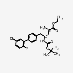 CCOC(=O)[C@H](N)C[C@@H](Cc1ccc(-c2cc(Cl)ccc2F)cc1)NC(=O)OC(C)(C)C